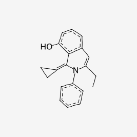 CCC1=Cc2cccc(O)c2C(=C2CC2)N1c1ccccc1